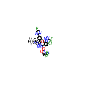 CC(C)(C)C[C@]1(C2(C)C=CC(c3ncc(F)cn3)=CC2)NC(=N)N([C@H](COC(=O)NC2(C(F)(F)F)CC2)c2ccc(Cl)c(-n3ncnc3C(F)F)c2)C1=O